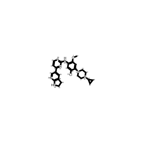 COc1cc(N2CCN(C3CC3)CC2)c(Cl)cc1Nc1nccc(-c2cnc3c(c2)CCN3)n1